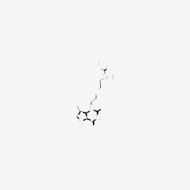 Cc1c[nH]c2c(=O)[nH]c(=S)n(CCOCCNC(=O)OC(C)(C)C)c12